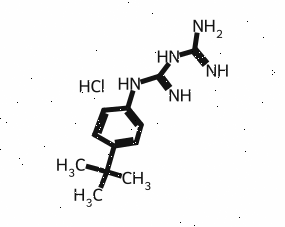 CC(C)(C)c1ccc(NC(=N)NC(=N)N)cc1.Cl